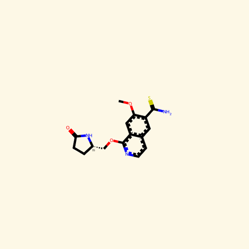 COc1cc2c(OC[C@@H]3CCC(=O)N3)nccc2cc1C(N)=S